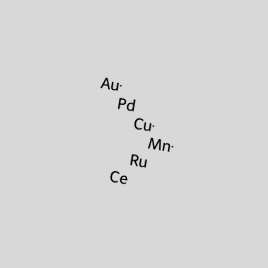 [Au].[Ce].[Cu].[Mn].[Pd].[Ru]